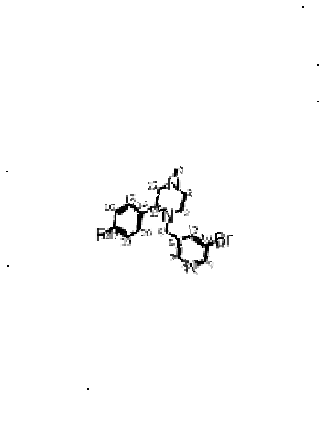 CN1CCN(Cc2cncc(Br)c2)[C@@H](c2ccc(F)cc2)C1